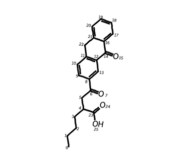 CCCCC(CC(=O)c1ccc2c(c1)C(=O)c1ccccc1C2)C(=O)O